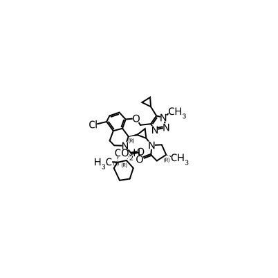 C[C@@H]1CC(=O)N(C2CC2[C@@H]2c3c(OCc4nnn(C)c4C4CC4)ccc(Cl)c3CCN2C(=O)[C@@H]2CCCC[C@]2(C)C(=O)O)C1